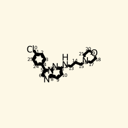 Clc1ccc(-c2cnc3ccc(NCCCN4CCOCC4)nn23)cc1